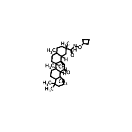 CC1(C(=O)NOC2CCC2)CC[C@]2(C)CC[C@]3(C)C(=CC(=O)[C@@H]4[C@@]5(C)CCCC(C)(C)C5CC[C@]43C)[C@H]2C1